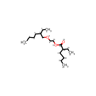 CCCCC(CC)COCCOC(=O)C(CC)CCCC